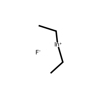 C[CH2][In+][CH2]C.[F-]